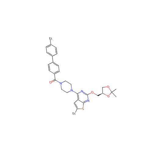 CCc1ccc(-c2ccc(C(=O)N3CCN(c4nc(OC[C@H]5COC(C)(C)O5)nc5sc(CC)cc45)CC3)cc2)cc1